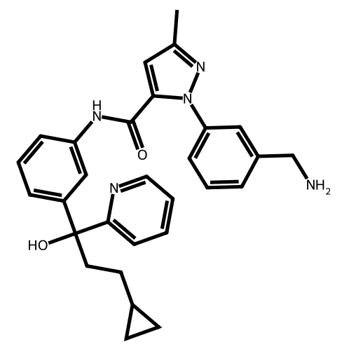 Cc1cc(C(=O)Nc2cccc(C(O)(CCC3CC3)c3ccccn3)c2)n(-c2cccc(CN)c2)n1